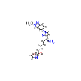 Cn1cc2cc(-n3ccc([C@@H](N)CCCCCC(=O)c4ncco4)n3)ccc2n1